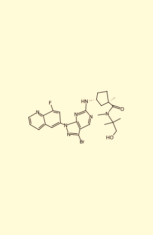 CN(C(=O)[C@]1(C)CC[C@@H](Nc2ncc3c(Br)nn(-c4cc(F)c5ncccc5c4)c3n2)C1)C(C)(C)CO